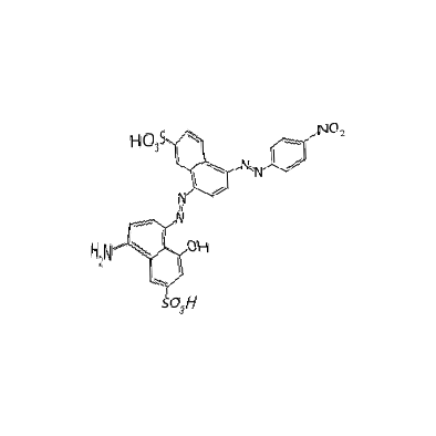 Nc1ccc(N=Nc2ccc(N=Nc3ccc([N+](=O)[O-])cc3)c3ccc(S(=O)(=O)O)cc23)c2c(O)cc(S(=O)(=O)O)cc12